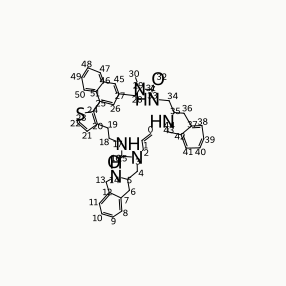 C=CCN(CC1Cc2ccccc2CN1)C(=O)NCCc1ccsc1-c1cc(CN(C)C(=O)NCC2Cc3ccccc3CN2)cc2ccccc12